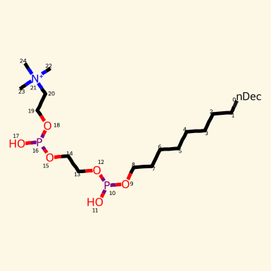 CCCCCCCCCCCCCCCCCCOP(O)OCCOP(O)OCC[N+](C)(C)C